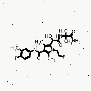 Cc1cc(NC(=O)c2c(C)c(C(O)C(=O)NC(C)(C)C(N)=O)n(CCF)c2C)ccc1F